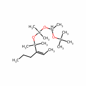 CC=C(CCC)[Si](C)(C)O[Si](C)(C)O[SiH](C)O[Si](C)(C)C